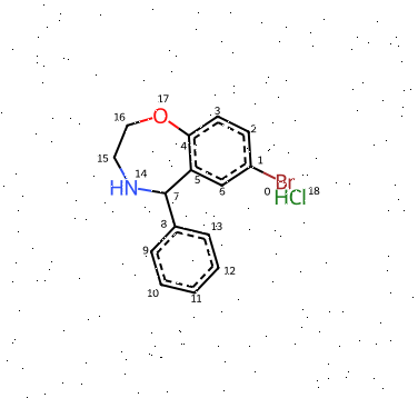 Brc1ccc2c(c1)C(c1ccccc1)NCCO2.Cl